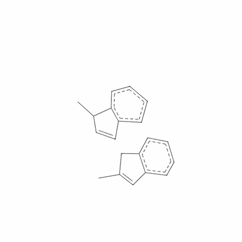 CC1=Cc2ccccc2C1.CC1C=Cc2ccccc21